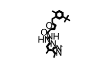 Cc1ccc(C(C)(C)C)cc1Cc1ccc(C(=O)NNc2cc(C)c3c(C)nn(C)c3n2)o1